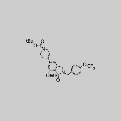 COc1cc(C2=CCN(C(=O)OC(C)(C)C)CC2)cc2c1C(=O)N(Cc1ccc(OC(F)(F)F)cc1)C2